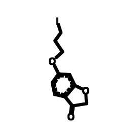 O=C1COc2cc(OCCCI)ccc21